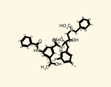 CO[C@](Cc1cc(F)cc(F)c1)(NC(=O)c1cc(NC(=O)c2ccccc2)cc(C(C)O)c1)[C@H](O)CN(Cc1ccccc1)C(=O)O